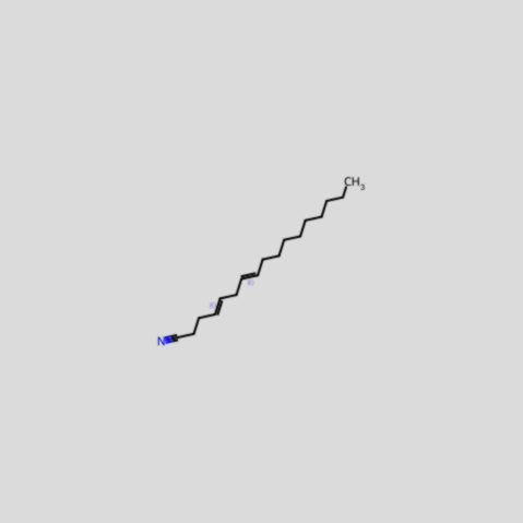 CCCCCCCCC/C=C/C/C=C/CCC#N